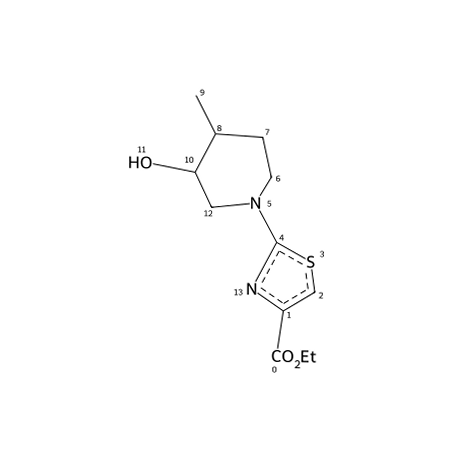 CCOC(=O)c1csc(N2CCC(C)C(O)C2)n1